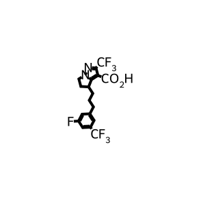 O=C(O)c1c(C(F)(F)F)nn2c1C(CCCc1cc(F)cc(C(F)(F)F)c1)CC2